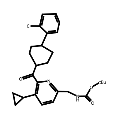 CC(C)(C)OC(=O)NCc1ccc(C2CC2)c(C(=O)C2CCC(c3ccccc3Cl)CC2)n1